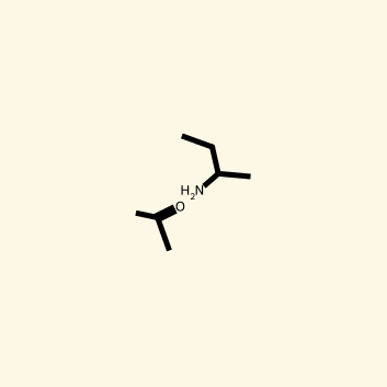 CC(C)=O.CCC(C)N